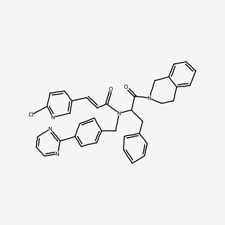 O=C(C(Cc1ccccc1)N(Cc1ccc(-c2ncccn2)cc1)C(=O)C=Cc1ccc(Cl)nc1)N1CCc2ccccc2C1